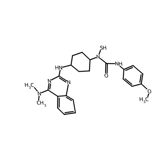 COc1ccc(NC(=O)N(S)C2CCC(Nc3nc(N(C)C)c4ccccc4n3)CC2)cc1